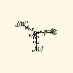 CCC(C)(C)OCC(COCCC(=O)NCCCNC(=O)CCCCOC1OC(CO)C(O)C(O)C1NC(C)=O)(COCCC(=O)NCCCNC(=O)CCCCOC1OC(CO)C(O)C(O)C1NC(C)=O)NC(=O)CCC(=O)NCCCNC(=O)CCCCOC1OC(CO)C(O)C(O)C1NC(C)=O